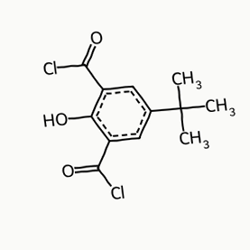 CC(C)(C)c1cc(C(=O)Cl)c(O)c(C(=O)Cl)c1